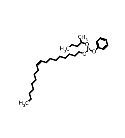 CCCCCCCC/C=C\CCCCCCCCOP(Oc1ccccc1)OC(C)CCC